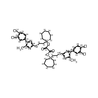 Cc1nc(SCC[N+]2(OC(=O)C(=O)O[N+]3(CCSc4nc(C)n(-c5ccc(Cl)c(Cl)c5)n4)CCCCCC3)CCCCCC2)nn1-c1ccc(Cl)c(Cl)c1